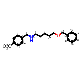 O=C(O)c1ccc(CNCCCCCOCc2ccccc2)cc1